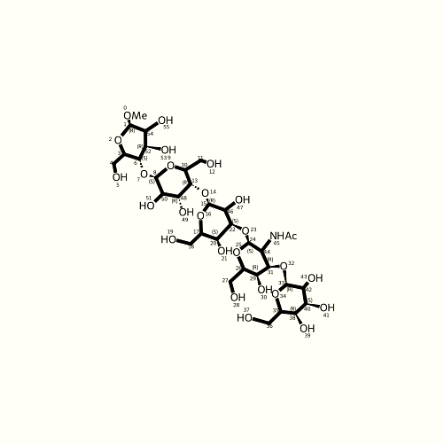 CO[C@@H]1OC(CO)[C@@H](O[C@@H]2OC(CO)[C@H](O[C@H]3OC(CO)[C@H](O)[C@H](O[C@@H]4OC(CO)[C@H](O)[C@H](O[C@@H]5OC(CO)[C@H](O)[C@H](O)C5O)C4NC(C)=O)C3O)[C@H](O)C2O)[C@H](O)C1O